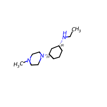 CCN[C@@H]1CCC[C@H](N2CCN(C)CC2)C1